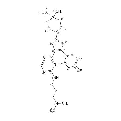 CN(C)CCCNc1nccc(-c2[nH]c(C3OCC(C)(C(=O)O)CO3)nc2-c2ccc(F)cc2)n1